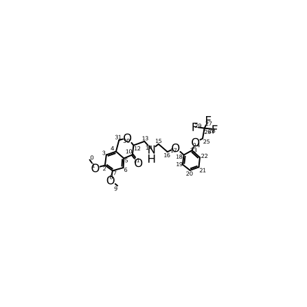 COc1cc2c(cc1OC)C(=O)C(CNCCOc1ccccc1OCC(F)(F)F)OC2